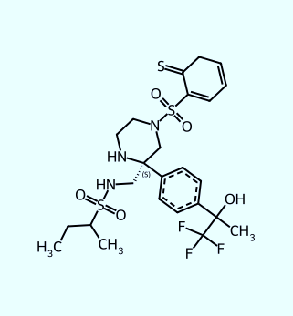 CCC(C)S(=O)(=O)NC[C@@]1(c2ccc(C(C)(O)C(F)(F)F)cc2)CN(S(=O)(=O)C2=CC=CCC2=S)CCN1